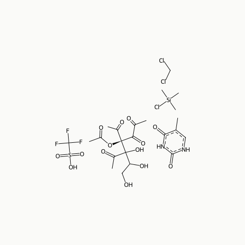 CC(=O)O[C@@](C(C)=O)(C(=O)C(C)=O)C(O)(C(C)=O)C(O)CO.C[Si](C)(C)Cl.Cc1c[nH]c(=O)[nH]c1=O.ClCCl.O=S(=O)(O)C(F)(F)F